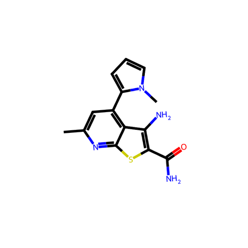 Cc1cc(-c2cccn2C)c2c(N)c(C(N)=O)sc2n1